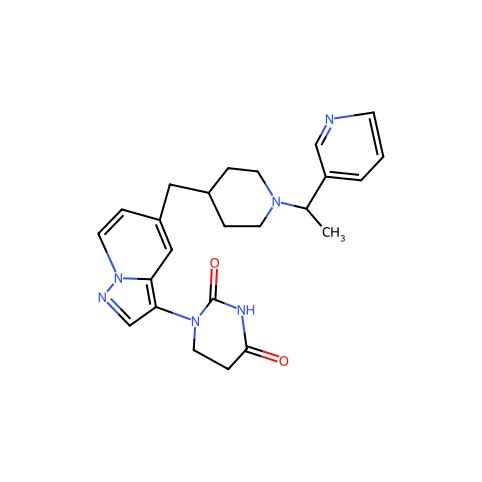 CC(c1cccnc1)N1CCC(Cc2ccn3ncc(N4CCC(=O)NC4=O)c3c2)CC1